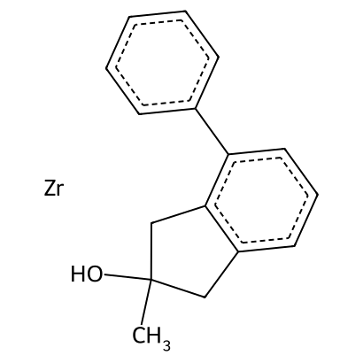 CC1(O)Cc2cccc(-c3ccccc3)c2C1.[Zr]